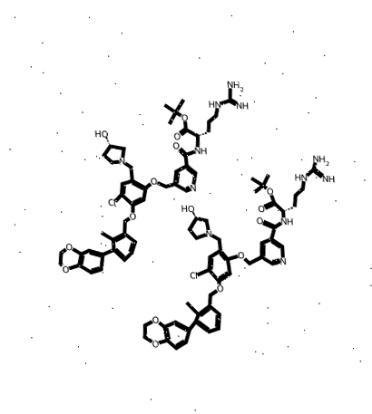 Cc1c(COc2cc(OCc3cncc(C(=O)N[C@@H](CCCNC(=N)N)C(=O)OC(C)(C)C)c3)c(CN3CC[C@H](O)C3)cc2Cl)cccc1-c1ccc2c(c1)OCCO2.Cc1c(COc2cc(OCc3cncc(C(=O)N[C@@H](CCCNC(=N)N)C(=O)OC(C)(C)C)c3)c(CN3CC[C@H](O)C3)cc2Cl)cccc1-c1ccc2c(c1)OCCO2